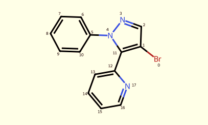 Brc1cnn(-c2ccccc2)c1-c1ccccn1